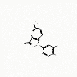 CC(C)(C)c1nn(-c2ccc(Cl)c(F)c2)c2ccc(C#N)nc12